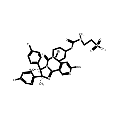 CCOc1cc(C(C)(C)C)ncc1C1=N[C@@](C)(c2ccc(Cl)cc2)[C@@](C)(c2ccc(Cl)cc2)N1C(=O)N1CCC(OC(=O)N(C)CCS(C)(=O)=O)CC1